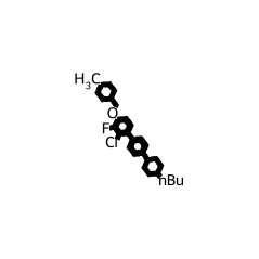 CCCCC1CCC(c2ccc(-c3ccc(OCC4CCC(C)CC4)c(F)c3Cl)cc2)CC1